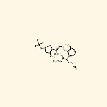 CO/N=C(/C(=O)OC)c1cccc(C)c1CO/N=C(\C)c1ccc(OC(F)(F)F)cc1C